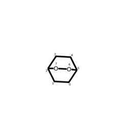 C1CC2CCC1OO2